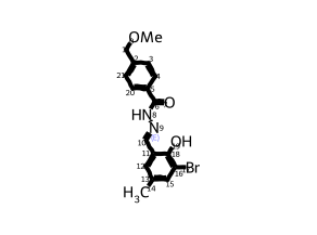 COCc1ccc(C(=O)N/N=C/c2cc(C)cc(Br)c2O)cc1